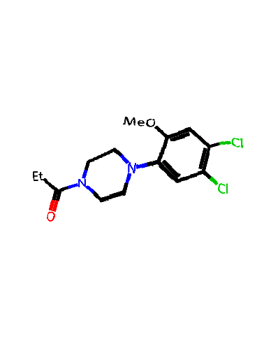 CCC(=O)N1CCN(c2cc(Cl)c(Cl)cc2OC)CC1